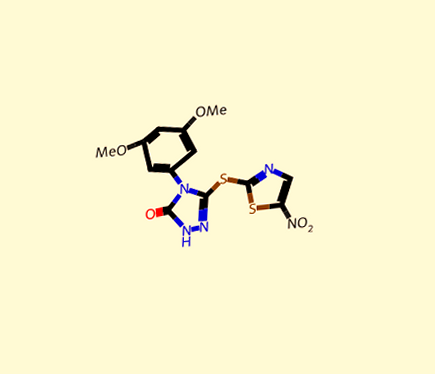 COc1cc(OC)cc(-n2c(Sc3ncc([N+](=O)[O-])s3)n[nH]c2=O)c1